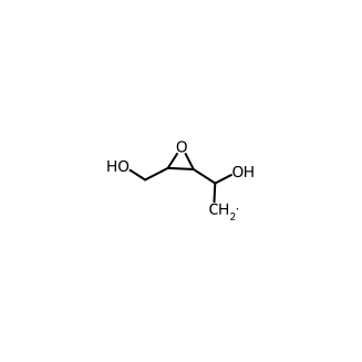 [CH2]C(O)C1OC1CO